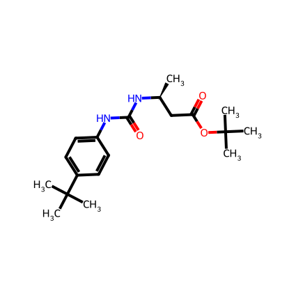 C[C@@H](CC(=O)OC(C)(C)C)NC(=O)Nc1ccc(C(C)(C)C)cc1